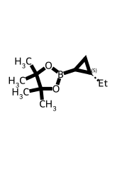 CC[C@H]1CC1B1OC(C)(C)C(C)(C)O1